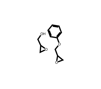 OCC1CO1.c1ccc(OCC2CO2)cc1